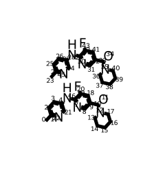 Cc1ccc(Nc2ncc(C(=O)N3CCCCC3)cc2F)cn1.Cc1ccc(Nc2ncc(C(=O)N3CCCCC3)cc2F)cn1